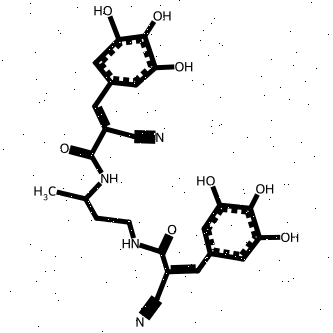 CC(CCNC(=O)C(C#N)=Cc1cc(O)c(O)c(O)c1)NC(=O)C(C#N)=Cc1cc(O)c(O)c(O)c1